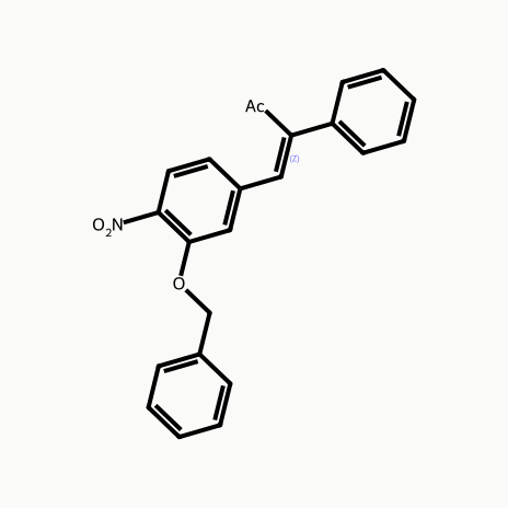 CC(=O)/C(=C\c1ccc([N+](=O)[O-])c(OCc2ccccc2)c1)c1ccccc1